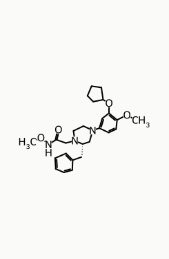 CONC(=O)CN1CCN(c2ccc(OC)c(OC3CCCC3)c2)C[C@@H]1Cc1ccccc1